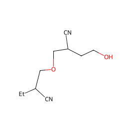 CCC(C#N)COCC(C#N)CCO